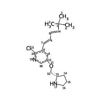 CC(C)(C)/C=C/C=C/c1cc(OC[C@@H]2CCCN2)cnc1Cl